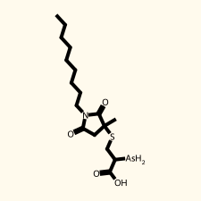 CCCCCCCCCN1C(=O)CC(C)(SCC([AsH2])C(=O)O)C1=O